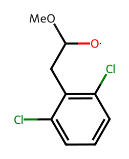 COC([O])Cc1c(Cl)cccc1Cl